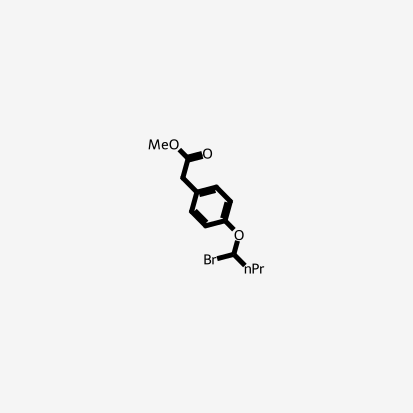 CCCC(Br)Oc1ccc(CC(=O)OC)cc1